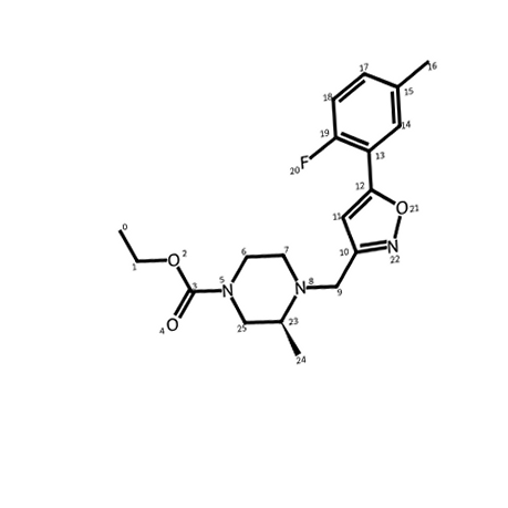 CCOC(=O)N1CCN(Cc2cc(-c3cc(C)ccc3F)on2)[C@@H](C)C1